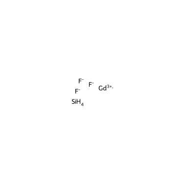 [F-].[F-].[F-].[Gd+3].[SiH4]